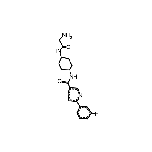 NCC(=O)N[C@H]1CC[C@@H](NC(=O)c2ccc(-c3cccc(F)c3)nc2)CC1